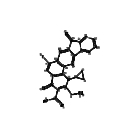 CCc1c(C(=O)O)c(=O)c2cc(F)c3nc4c(nc3c2n1C1CC1)-c1ccccc1C4=O